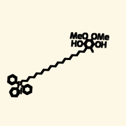 COc1c(O)c(C)c(CCCCCCCCCCCCCCCCCC[PH](c2ccccc2)(c2ccccc2)c2ccccc2)c(O)c1OC